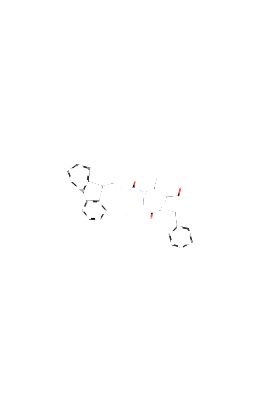 CC1[C@H]2C(=O)OC(c3ccccc3)N2C(=O)[C@H](C)N1C(=O)OCC1c2ccccc2-c2ccccc21